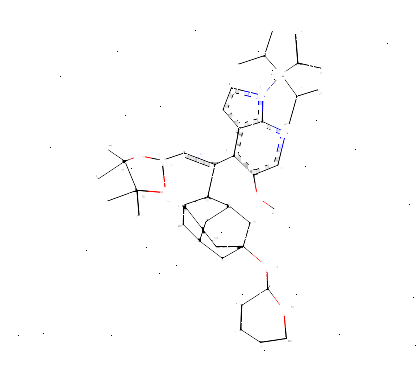 COc1cnc2c(ccn2[Si](C(C)C)(C(C)C)C(C)C)c1/C(=C/B1OC(C)(C)C(C)(C)O1)C1C2CC3CC1CC(OC1CCCCO1)(C3)C2